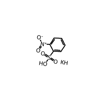 O=[N+]([O-])c1ccccc1S(=O)(=O)O.[KH]